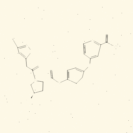 CNC(=O)c1cc(OC2=CC=C(NC(=O)[C@@H]3C[C@@H](O)CN3C(=O)Cc3cc(C)no3)CC2)ccn1